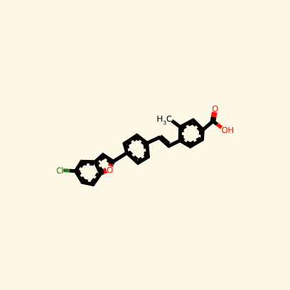 Cc1cc(C(=O)O)ccc1/C=C/c1ccc(-c2cc3cc(Cl)ccc3o2)cc1